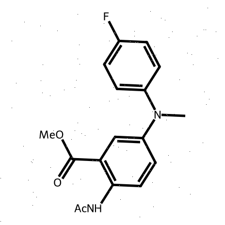 COC(=O)c1cc(N(C)c2ccc(F)cc2)ccc1NC(C)=O